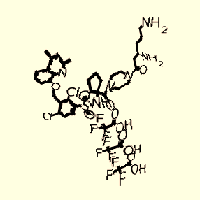 Cc1cc(C)c2cccc(OCc3c(Cl)ccc(S(=O)(=O)NC4(C(=O)N5CCN(C(=O)C[C@@H](N)CCCN)CC5)CCCC4)c3Cl)c2n1.O=C(O)C(F)(F)F.O=C(O)C(F)(F)F.O=C(O)C(F)(F)F